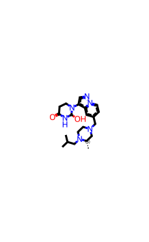 CC(C)CN1CCN(Cc2ccn3ncc(N4CCC(=O)NC4O)c3c2)C[C@@H]1C